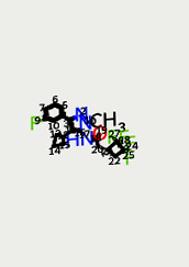 Cn1nc(-c2cccc(F)c2)c(C2CCC2)c1NC(=O)C[C@H]1CC(F)(F)C1(F)F